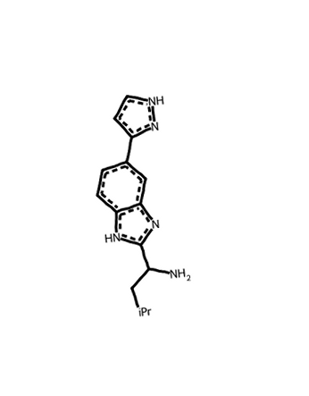 CC(C)CC(N)c1nc2cc(-c3cc[nH]n3)ccc2[nH]1